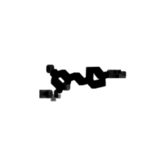 COc1ccc(C=Cc2cc(=O)cc(C(=O)O)o2)cc1